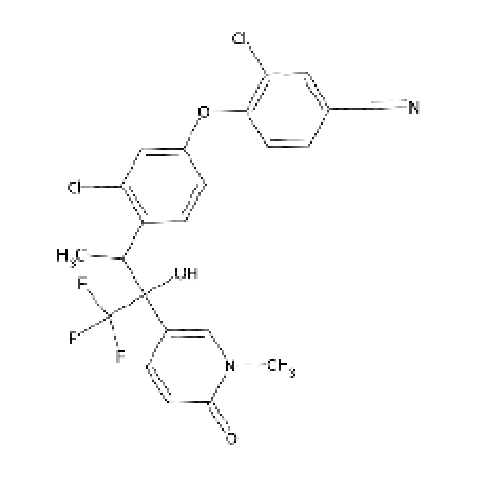 CC(c1ccc(Oc2ccc(C#N)cc2Cl)cc1Cl)C(O)(c1ccc(=O)n(C)c1)C(F)(F)F